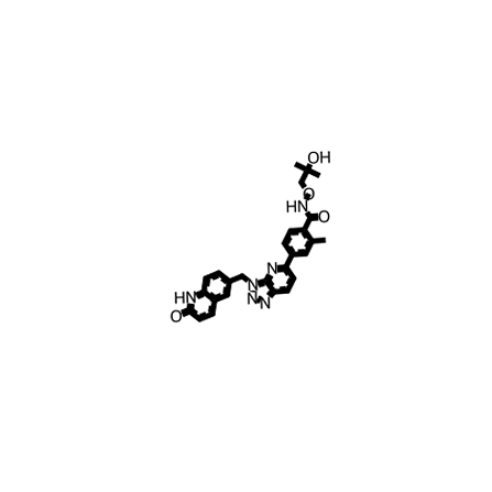 Cc1cc(-c2ccc3nnn(Cc4ccc5[nH]c(=O)ccc5c4)c3n2)ccc1C(=O)NOCC(C)(C)O